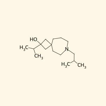 CC(C)CN1CCCC2(CC1)CC(O)(C(C)C)C2